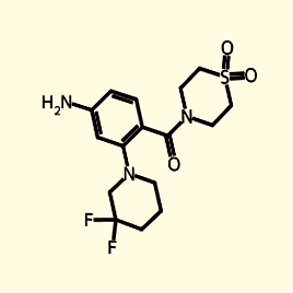 Nc1ccc(C(=O)N2CCS(=O)(=O)CC2)c(N2CCCC(F)(F)C2)c1